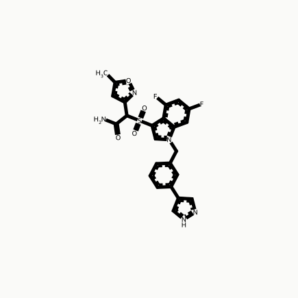 Cc1cc(C(C(N)=O)S(=O)(=O)c2cn(Cc3cccc(-c4cn[nH]c4)c3)c3cc(F)cc(F)c23)no1